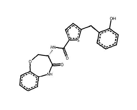 O=C(N[C@H]1COc2ccccc2NC1=O)c1ccc(Cc2ccccc2O)s1